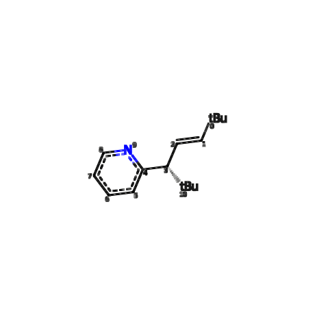 CC(C)(C)/C=C/[C@@H](c1ccccn1)C(C)(C)C